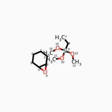 C1CCC2OC2C1.CC[Si](OC)(OC)OC